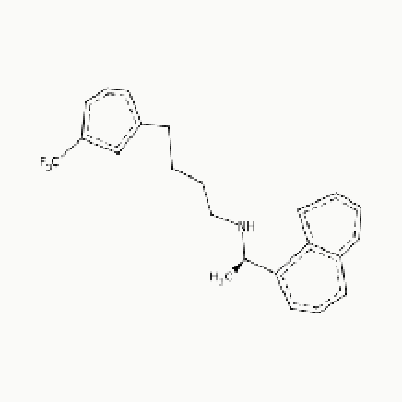 C[C@@H](NCCCCc1cccc(C(F)(F)F)c1)c1cccc2ccccc12